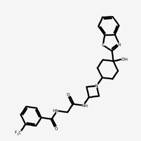 O=C(CNC(=O)c1cccc(C(F)(F)F)c1)NC1CN(C2CCC(O)(c3nc4ccccc4s3)CC2)C1